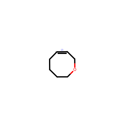 [C]1=C\COCCCC/1